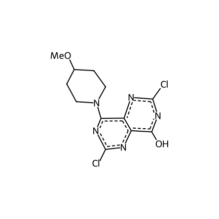 COC1CCN(c2nc(Cl)nc3c(O)nc(Cl)nc23)CC1